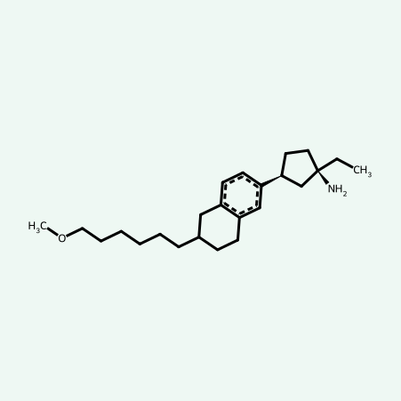 CC[C@@]1(N)CC[C@H](c2ccc3c(c2)CCC(CCCCCCOC)C3)C1